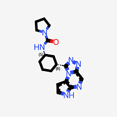 O=C(N[C@H]1CCC[C@@H](c2nnc3cnc4[nH]ccc4n23)C1)N1CCCC1